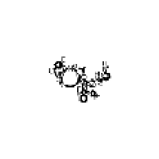 CC[C@H]1NC(=O)[C@H](Cc2cc(Cl)ccc2Cl)N(C)C(=O)[C@H](CC(C)C)NC(=O)[C@@H](N(C)C(=O)[C@H](CCNC(=O)c2cccc(NC)n2)NC(=O)[C@@H]2CC(F)(F)CN2C(=O)C2(C(F)(F)F)CCCCC2)CCCCN(C)C1=O